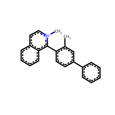 [CH2-][n+]1ccc2ccccc2c1-c1ccc(-c2ccccc2)cc1C